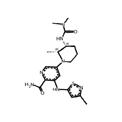 Cc1cc(Nc2cc(N3CCC[C@@H](NC(=O)N(C)C)[C@H]3C)cnc2C(N)=O)sn1